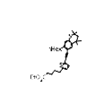 CCCCCCc1cc2c(cc1C#Cc1ccc(CCCCC(=O)OCC)s1)C(C)(C)CC(C)(C)S2